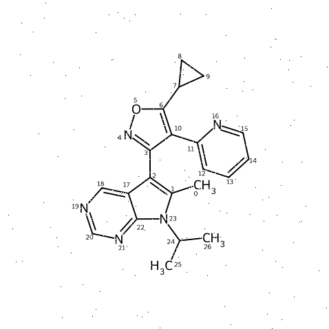 Cc1c(-c2noc(C3CC3)c2-c2ccccn2)c2cncnc2n1C(C)C